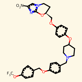 O=[N+]([O-])c1cn2c(n1)O[C@H](COc1ccc(OC3CCN(Cc4ccc(OCc5ccc(OC(F)(F)F)cc5)cc4)CC3)cc1)CC2